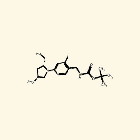 CC(C)(C)OC(=O)NCc1cnc(N2C[C@@H](O)C[C@@H]2CO)cc1I